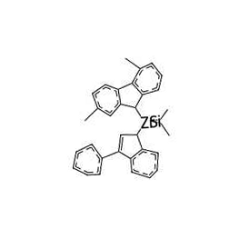 Cc1ccc2c(c1)[CH]([Zr]([CH]1C=C(c3ccccc3)c3ccccc31)=[Si](C)C)c1cccc(C)c1-2